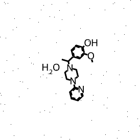 COc1cc(C(C)N2CCN(c3ccccn3)CC2)ccc1O.O